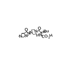 CC[C@H](C)[C@@H](NC(=O)O)C(=O)N1CCN(N2CN3CN(C)C=C3C2=O)CC1